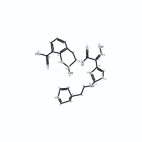 O=C(N[C@H]1Cc2cccc(C(=O)O)c2OB1O)/C(=N\O)c1csc(NCCc2ccncc2)n1